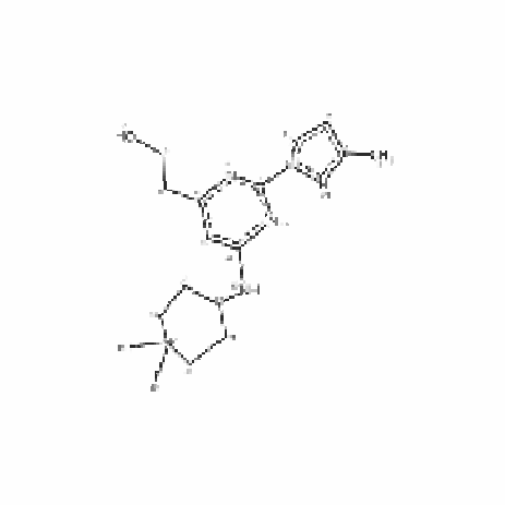 Cc1csc(-c2nc(CCO)cc(NC3CCC(F)(F)CC3)n2)n1